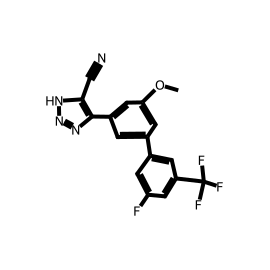 COc1cc(-c2cc(F)cc(C(F)(F)F)c2)cc(-c2nn[nH]c2C#N)c1